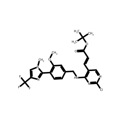 COc1cc(CNc2nc(Cl)ncc2/C=C/C(=O)OC(C)(C)C)ccc1-c1nc(C(F)(F)F)cn1C